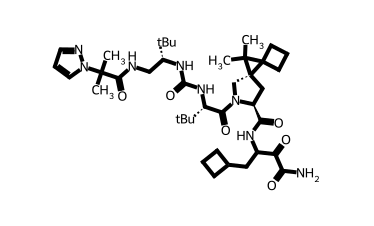 CC(C)(C)[C@H](NC(=O)N[C@H](CNC(=O)C(C)(C)n1cccn1)C(C)(C)C)C(=O)N1C[C@]2(C[C@H]1C(=O)NC(CC1CCC1)C(=O)C(N)=O)C(C)(C)C21CCC1